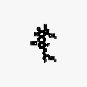 Cc1c[nH]c2c(=O)[nH]c(=S)n(Cc3cccc(OC/C(=C/F)CN)c3F)c12.Cl